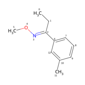 CCC(=NOC)c1cccc(C)c1